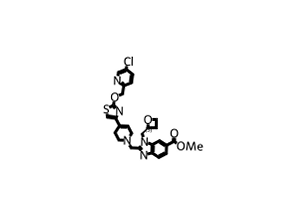 COC(=O)c1ccc2nc(CN3CC=C(c4csc(OCc5ccc(Cl)cn5)n4)CC3)n(C[C@@H]3CCO3)c2c1